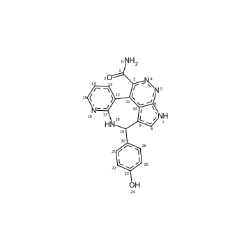 NC(=O)c1nnc2[nH]cc3c2c1-c1cccnc1NC3c1ccc(O)cc1